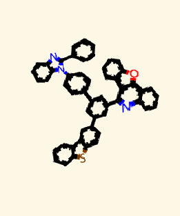 c1ccc(-c2nc3ccccc3n2-c2ccc(-c3cc(-c4ccc5sc6ccccc6c5c4)cc(-c4nc5ccccc5c5oc6ccccc6c45)c3)cc2)cc1